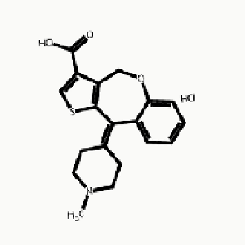 CN1CCC(=C2c3ccccc3OCc3c(C(=O)O)[c]sc32)CC1.Cl